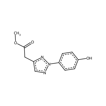 COC(=O)Cc1cnn(-c2ccc(O)cc2)n1